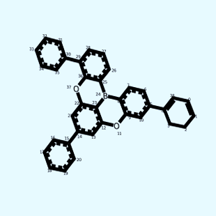 C1=CCCC(c2ccc3c(c2)Oc2cc(-c4ccccc4)cc4c2B3c2cccc(-c3ccccc3)c2O4)=C1